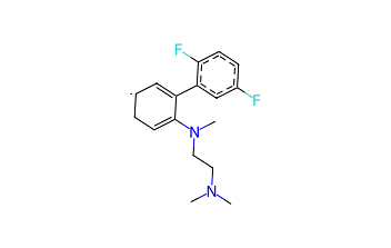 CN(C)CCN(C)C1=CC[CH]C=C1c1cc(F)ccc1F